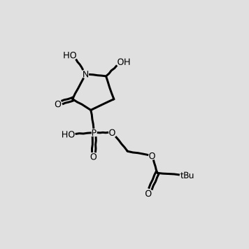 CC(C)(C)C(=O)OCOP(=O)(O)C1CC(O)N(O)C1=O